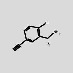 C#Cc1ccc(F)c([C@@H](C)N)c1